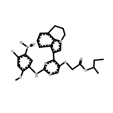 CCC(C)OC(=O)CSc1cnc(Nc2cc([N+](=O)[O-])c(F)cc2OC)nc1-c1cn2c3c(cccc13)CCC2